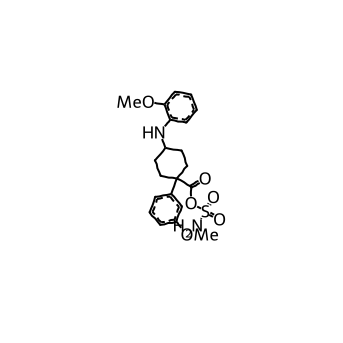 COc1cccc(C2(C(=O)OS(N)(=O)=O)CCC(Nc3ccccc3OC)CC2)c1